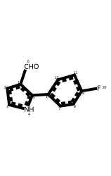 O=Cc1cc[nH]c1-c1ccc(F)cc1